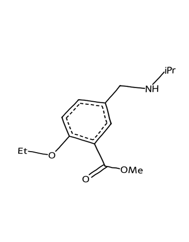 CCOc1ccc(CNC(C)C)cc1C(=O)OC